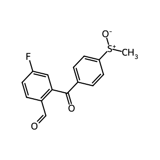 C[S+]([O-])c1ccc(C(=O)c2cc(F)ccc2C=O)cc1